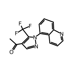 CC(=O)c1cnn(-c2cccc3ncccc23)c1C(F)(F)F